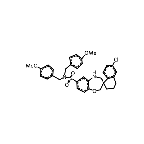 COc1ccc(CN(Cc2ccc(OC)cc2)S(=O)(=O)c2ccc3c(c2)NC[C@@]2(CCCc4cc(Cl)ccc42)CO3)cc1